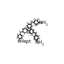 CCCCCCCc1ccc(CC2CCC(c3ccc(Cc4ccc(N)cc4)cc3)(c3ccc(Cc4ccc(N)cc4)cc3)CC2)cc1